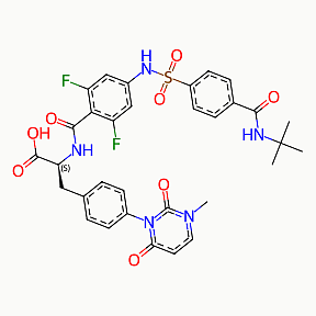 Cn1ccc(=O)n(-c2ccc(C[C@H](NC(=O)c3c(F)cc(NS(=O)(=O)c4ccc(C(=O)NC(C)(C)C)cc4)cc3F)C(=O)O)cc2)c1=O